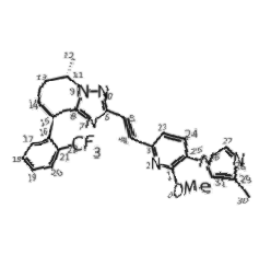 COc1nc(C=Cc2nc3n(n2)[C@@H](C)CC[C@@H]3c2ccccc2C(F)(F)F)ccc1-n1cnc(C)c1